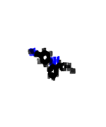 CCc1ccccc1NC1CCC(C#N)CC1